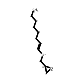 CCCCCCC=COCC1CO1